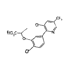 CCOC(=O)C(C)Oc1cc(-c2ncc(C(F)(F)F)cc2Cl)ccc1Cl